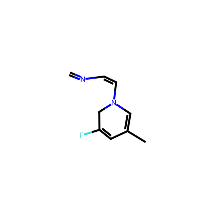 C=N/C=C\N1C=C(C)C=C(F)C1